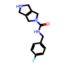 O=C(NCc1ccc(F)cc1)N1CC2=C(CNC2)C1